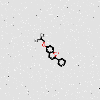 CCC(CC)COc1ccc2[o+]c(-c3ccccc3)ccc2c1